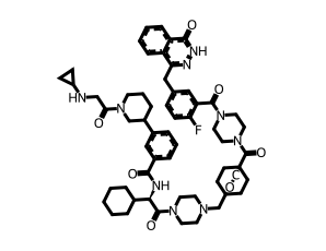 O=C(N[C@@H](C(=O)N1CCN(CC23CCC(C(=O)N4CCN(C(=O)c5cc(Cc6n[nH]c(=O)c7ccccc67)ccc5F)CC4)(CC2)CO3)CC1)C1CCCCC1)c1cccc(C2CCCN(C(=O)CNC3CC3)C2)c1